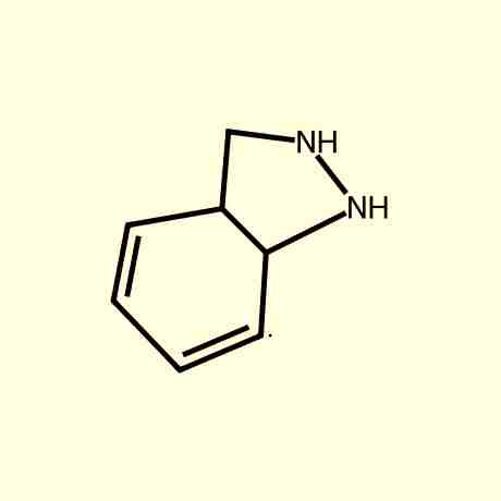 [C]1=CC=CC2CNNC12